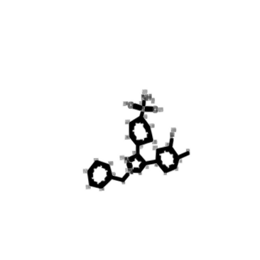 Cc1ccc(-c2cn(Cc3ccccc3)nc2-c2ccc(S(N)(=O)=O)cc2)cc1F